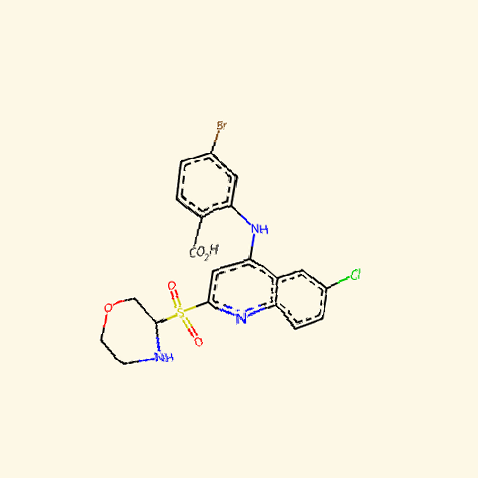 O=C(O)c1ccc(Br)cc1Nc1cc(S(=O)(=O)C2COCCN2)nc2ccc(Cl)cc12